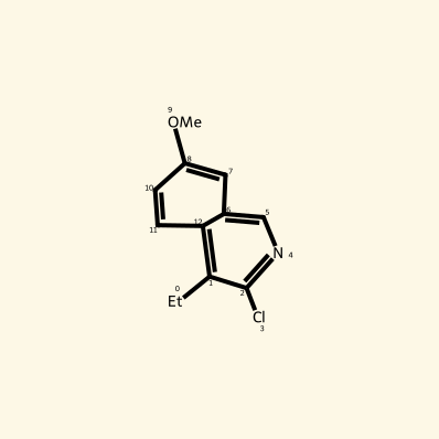 CCc1c(Cl)ncc2cc(OC)ccc12